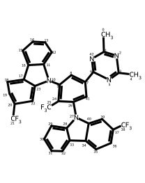 Cc1nc(C)nc(-c2cc(-n3c4ccccc4c4ccc(C(F)(F)F)cc43)c(C(F)(F)F)c(-n3c4ccccc4c4ccc(C(F)(F)F)cc43)c2)n1